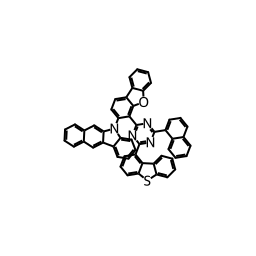 c1ccc2cc3c(cc2c1)c1ccccc1n3-c1ccc2c(oc3ccccc32)c1-c1nc(-c2cccc3ccccc23)nc(-c2cccc3sc4ccccc4c23)n1